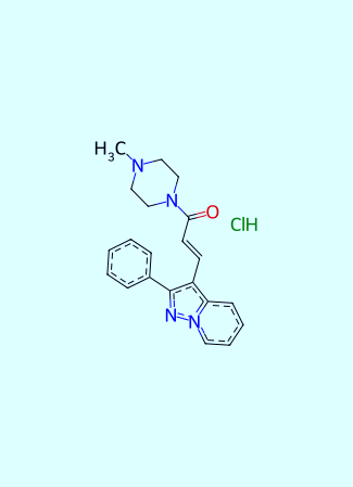 CN1CCN(C(=O)C=Cc2c(-c3ccccc3)nn3ccccc23)CC1.Cl